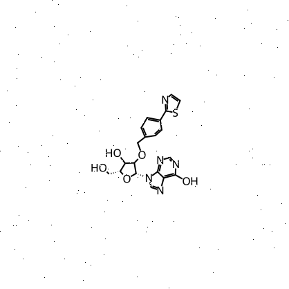 OC[C@H]1O[C@@H](n2cnc3c(O)ncnc32)C(OCc2ccc(-c3nccs3)cc2)C1O